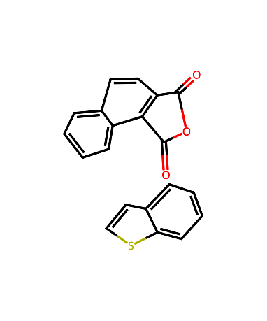 O=C1OC(=O)c2c1ccc1ccccc21.c1ccc2sccc2c1